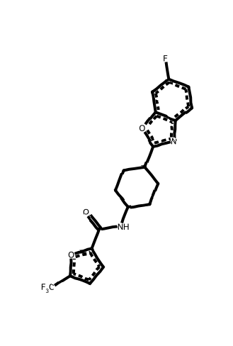 O=C(NC1CCC(c2nc3ccc(F)cc3o2)CC1)c1ccc(C(F)(F)F)o1